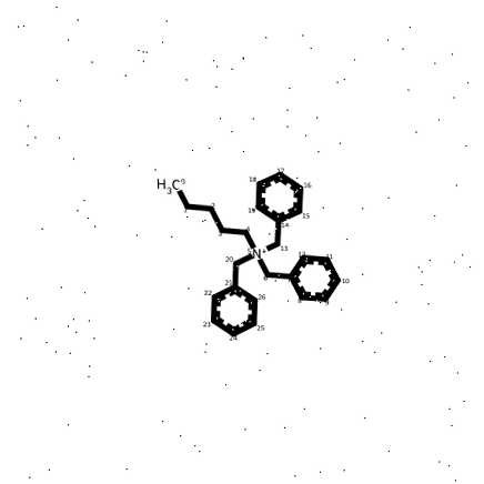 CCCCC[N+](Cc1ccccc1)(Cc1ccccc1)Cc1ccccc1